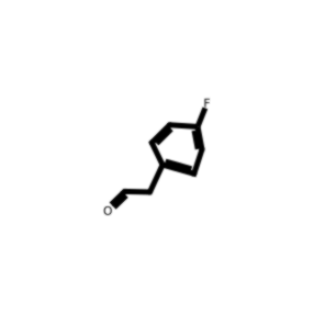 O=[C]Cc1ccc(F)cc1